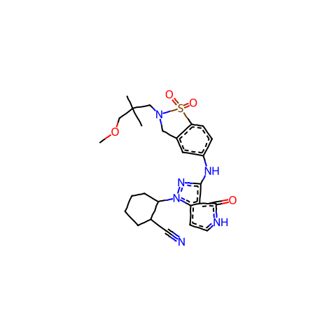 COCC(C)(C)CN1Cc2cc(Nc3nn(C4CCCCC4C#N)c4cc[nH]c(=O)c34)ccc2S1(=O)=O